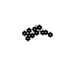 c1ccc(-c2ccc3cc(N(c4ccc(-c5ccc6c(c5)c(-c5ccccc5)c(-c5ccccc5)c5ccccc56)cc4)c4cccc5oc6ccccc6c45)ccc3c2)cc1